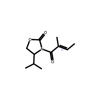 C/C=C(\C)C(=O)N1C(=O)OCC1C(C)C